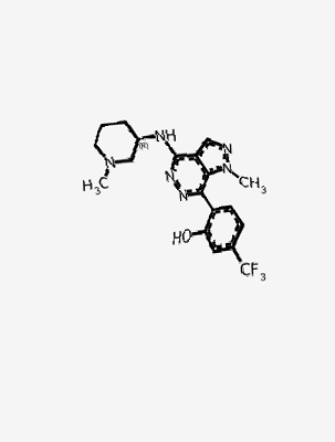 CN1CCC[C@@H](Nc2nnc(-c3ccc(C(F)(F)F)cc3O)c3c2cnn3C)C1